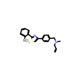 C=CCN(C)Cc1ccc(-c2csc(-c3ccccc3[N+](=O)[O-])n2)cc1